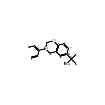 C=C/C(=C\C)N1COc2ccc(C(C)(C)CC)cc2C1